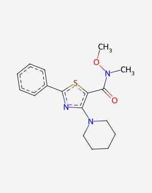 CON(C)C(=O)c1sc(-c2ccccc2)nc1N1CCCCC1